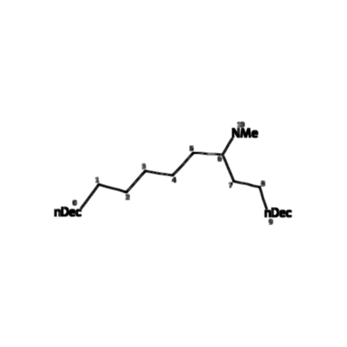 CCCCCCCCCCCCCCCC(CCCCCCCCCCCC)NC